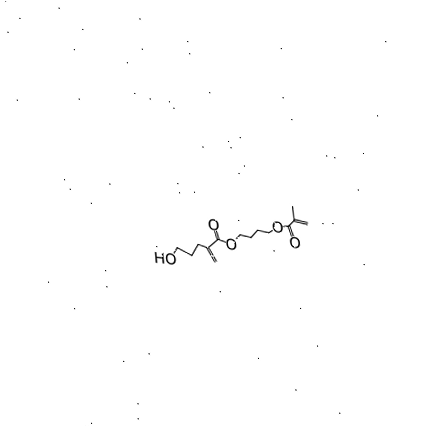 C=C(C)C(=O)OCCCCOC(=O)C(=C)CCCO